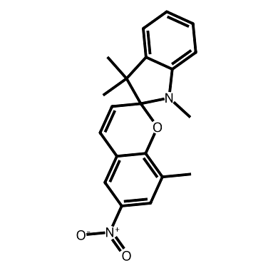 Cc1cc([N+](=O)[O-])cc2c1OC1(C=C2)N(C)c2ccccc2C1(C)C